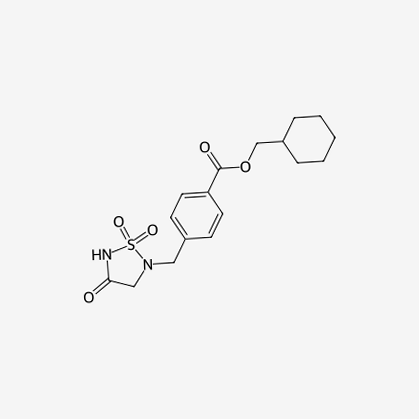 O=C1CN(Cc2ccc(C(=O)OCC3CCCCC3)cc2)S(=O)(=O)N1